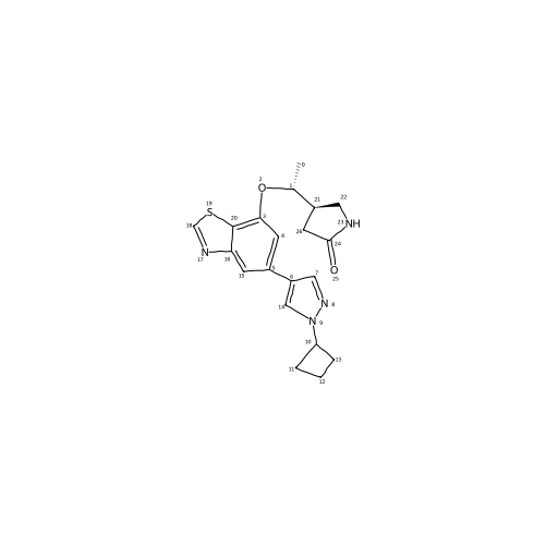 C[C@@H](Oc1cc(-c2cnn(C3CCC3)c2)cc2ncsc12)[C@H]1CNC(=O)C1